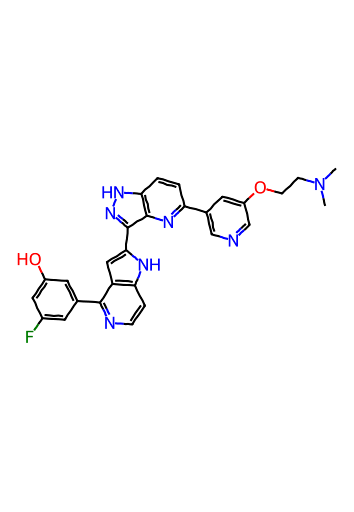 CN(C)CCOc1cncc(-c2ccc3[nH]nc(-c4cc5c(-c6cc(O)cc(F)c6)nccc5[nH]4)c3n2)c1